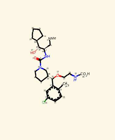 CNC[C@@H](NC(=O)N1CCC[C@@H](C(OCCNC(=O)O)c2cc(Cl)ccc2C)C1)[C@H](O)C1CCCC1